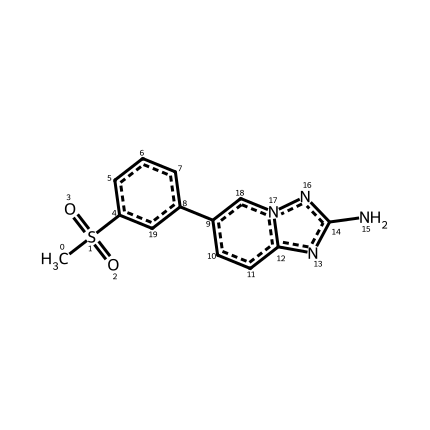 CS(=O)(=O)c1cccc(-c2ccc3nc(N)nn3c2)c1